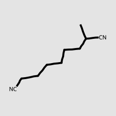 CC(C#N)CCCCCCC#N